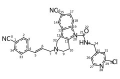 N#Cc1ccc(C=CCN2CCc3c(c4cc(C#N)ccc4n3C(=O)NCc3ccnc(Cl)c3)C2)cc1